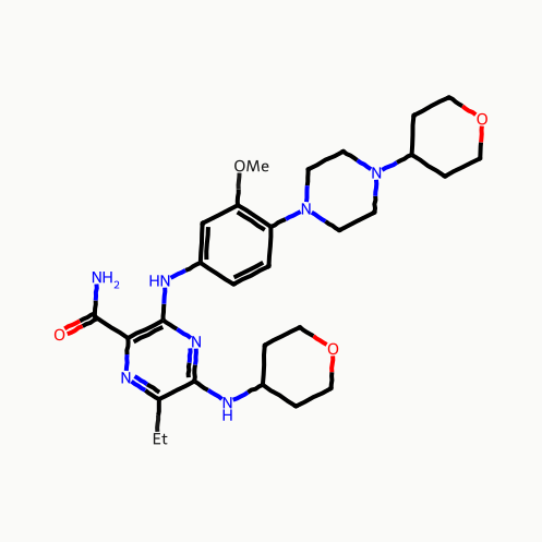 CCc1nc(C(N)=O)c(Nc2ccc(N3CCN(C4CCOCC4)CC3)c(OC)c2)nc1NC1CCOCC1